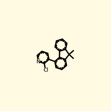 CC1(C)c2ccccc2-c2c(-c3cccnc3Cl)cccc21